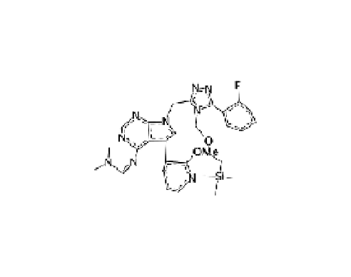 COc1ncccc1-c1cn(Cc2nnc(-c3ccccc3F)n2COCC[Si](C)(C)C)c2ncnc(/N=C\N(C)C)c12